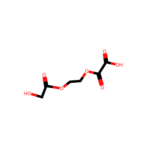 O=C(CO)OCCOC(=O)C(=O)O